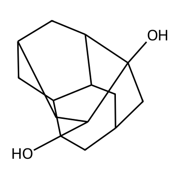 OC12CC3CC4C1CC1CC4C(O)(C3)C2C1